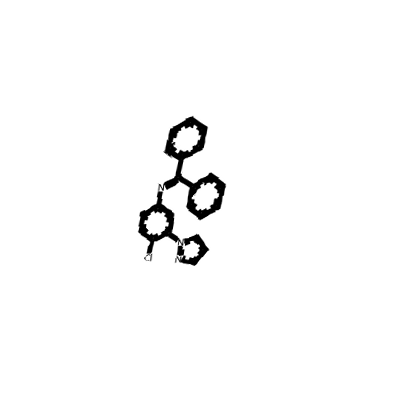 Clc1ccc(N=C(c2ccccc2)c2ccccc2)cc1-n1cccn1